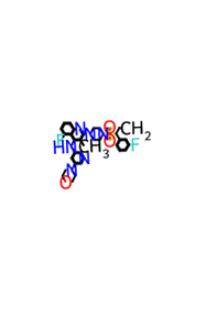 C=CC(c1cccc(F)c1)S(=O)(=O)N1CCN(c2nc3cccc(F)c3c(Nc3cncc(N4CCOCC4)c3)c2C)CC1